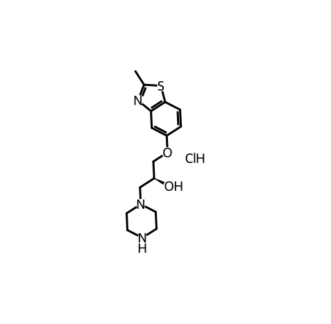 Cc1nc2cc(OC[C@@H](O)CN3CCNCC3)ccc2s1.Cl